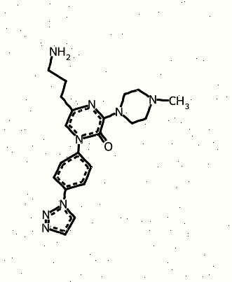 CN1CCN(c2nc(CCCN)cn(-c3ccc(-n4ccnn4)cc3)c2=O)CC1